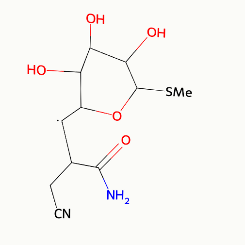 CSC1OC([CH]C(CC#N)C(N)=O)C(O)C(O)C1O